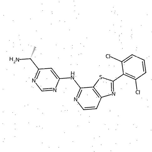 C[C@@H](N)c1cc(Nc2nccc3nc(-c4c(Cl)cccc4Cl)sc23)ncn1